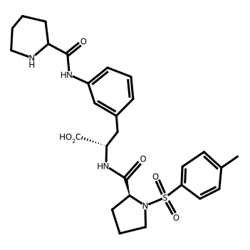 Cc1ccc(S(=O)(=O)N2CCC[C@H]2C(=O)N[C@@H](Cc2cccc(NC(=O)C3CCCCN3)c2)C(=O)O)cc1